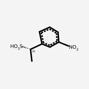 C[C@@H](c1cccc([N+](=O)[O-])c1)S(=O)(=O)O